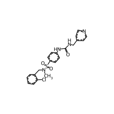 CN(Cc1ccccc1Cl)S(=O)(=O)c1ccc(NC(=O)NCc2ccncc2)cc1